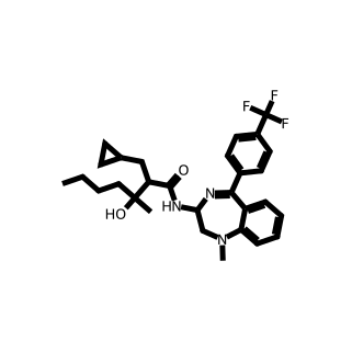 CCCCC(C)(O)C(CC1CC1)C(=O)NC1CN(C)c2ccccc2C(c2ccc(C(F)(F)F)cc2)=N1